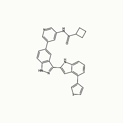 O=C(Nc1cncc(-c2ccc3[nH]nc(-c4cc5c(-c6ccsc6)cccc5[nH]4)c3c2)c1)C1CCC1